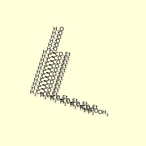 CCOC(C)=O.CCOC(C)=O.CCOC(C)=O.CCOC(C)=O.CCOC(C)=O.CCOC(C)=O.CCOC(C)=O.CCOC(C)=O.CCOC(C)=O.CCOC(C)=O.CCOC(C)=O.CCOC(C)=O.CCOC(C)=O.CCOC(C)=O.CCOC(C)=O.O.O.O.O.O.O.O.O.O.O